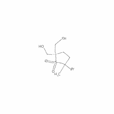 CC(C)C1(C)CCC(CO)(CO)S1(=O)=O